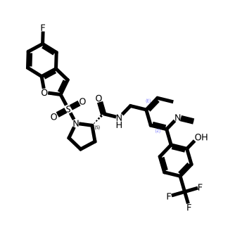 C=N/C(=C\C(=C/C)CNC(=O)[C@@H]1CCCN1S(=O)(=O)c1cc2cc(F)ccc2o1)c1ccc(C(F)(F)F)cc1O